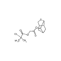 CCC(C)(C)C(=O)OCC(=O)OC1C2CC3COC1C3C2